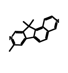 Cc1cc2c(cn1)C(C)(C)c1c-2ccc2cnccc12